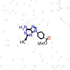 C#Cc1nc(N)c2ncn([C@H]3CC[C@@H](C(=O)OC)CC3)c2n1